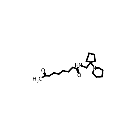 CC(=O)CCCCCCC(=O)NCC1(N2CCCCC2)CCCC1